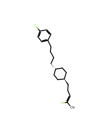 N#CC(F)=CCC[C@H]1CC[C@H](CCCCc2ccc(F)cc2)CC1